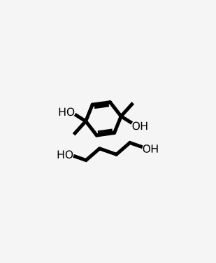 CC1(O)C=CC(C)(O)C=C1.OCCCCO